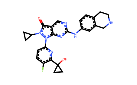 O=c1c2cnc(Nc3ccc4c(c3)CNCC4)nc2n(-c2ccc(F)c(C3(O)CC3)n2)n1C1CC1